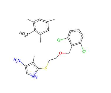 Cc1c(N)c[nH]c1SCCOCc1c(Cl)cccc1Cl.Cc1cc(C)c(S(=O)(=O)O)c(C)c1